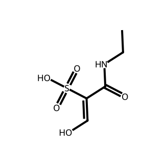 CCNC(=O)C(=CO)S(=O)(=O)O